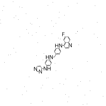 Fc1ccc2nccc(Nc3ccc(CNc4ccc(Nc5ccncn5)cc4)cc3)c2c1